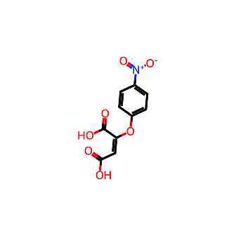 O=C(O)C=C(Oc1ccc([N+](=O)[O-])cc1)C(=O)O